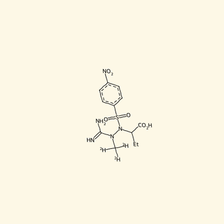 [2H]C([2H])([2H])N(C(=N)N)N(C(CC)C(=O)O)S(=O)(=O)c1ccc([N+](=O)[O-])cc1